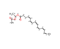 CC\C=C/C=C\C=C/C=C\C=C/C=C\CCC(=O)OC(C)OC(=O)C(C)C